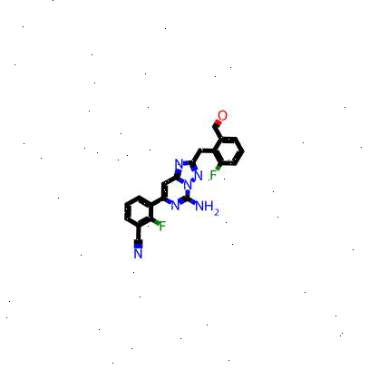 N#Cc1cccc(-c2cc3nc(Cc4c(F)cccc4C=O)nn3c(N)n2)c1F